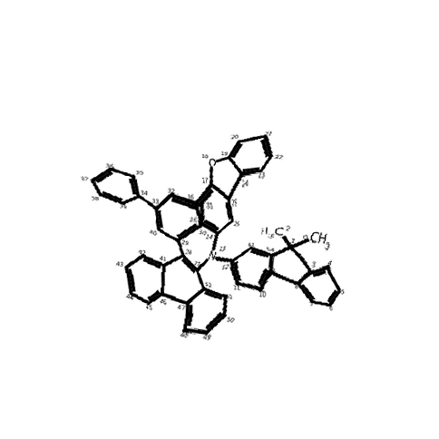 CC1(C)c2ccccc2-c2ccc(N(c3ccc4oc5ccccc5c4c3)c3c(-c4cccc(-c5ccccc5)c4)c4ccccc4c4ccccc34)cc21